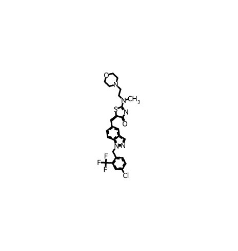 CN(CCN1CCOCC1)C1=NC(=O)C(=Cc2ccc3c(cnn3Cc3ccc(Cl)cc3C(F)(F)F)c2)S1